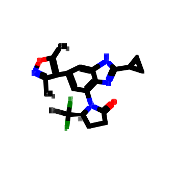 CCC(F)(F)[C@@H]1CCC(=O)N1c1cc(-c2c(C)noc2C)cc2[nH]c(C3CC3)nc12